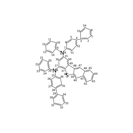 c1ccc(-c2ccc(N(c3ccccc3)c3cc(N(c4ccccc4)c4ccc(-c5ccccc5)cc4)c4sc5cc6ccccc6cc5c4c3)cc2)cc1